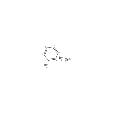 [Br-].[Br-].[Os+2].c1ccccc1